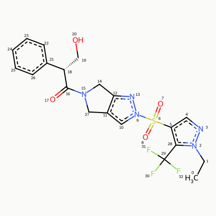 CCn1ncc(S(=O)(=O)n2cc3c(n2)CN(C(=O)[C@@H](CO)c2ccccc2)C3)c1C(F)(F)F